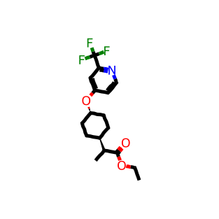 CCOC(=O)C(C)[C@H]1CC[C@H](Oc2ccnc(C(F)(F)F)c2)CC1